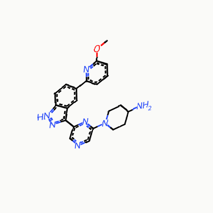 COc1cccc(-c2ccc3[nH]nc(-c4cncc(N5CCC(N)CC5)n4)c3c2)n1